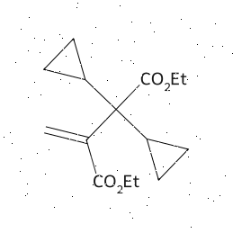 C=C(C(=O)OCC)C(C(=O)OCC)(C1CC1)C1CC1